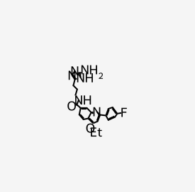 CCOc1cc(-c2ccc(F)cc2)nc2cc(C(=O)NCCCc3nnc(N)[nH]3)ccc12